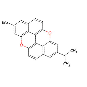 C=C(C)c1cc2ccc3oc4cc(C(C)(C)C)cc5ccc6oc(c1)c2c3-c6c54